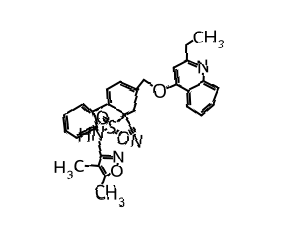 CCc1cc(OCC2=CC=C(c3ccccc3)C(C#N)(S(=O)(=O)Nc3noc(C)c3C)C2)c2ccccc2n1